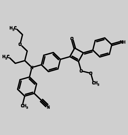 CCOCC(CC)N(c1ccc(C2=C(OOC)C(=C3C=CC(=N)C=C3)C2=O)cc1)c1ccc(C)c(C#N)c1